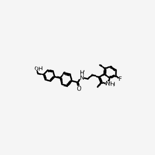 Cc1[nH]c2c(F)ccc(C)c2c1CCNC(=O)c1ccc(-c2ccc(CO)cc2)cc1